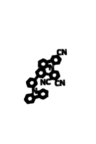 N#Cc1ccc2c(c1)c1ccccc1n2-c1ccc(C#N)c(C#N)c1-c1cccc(-c2cccc(-n3c4ccccc4c4ccccc43)c2)c1